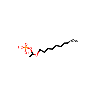 CCCCCCCCCCCCCCCCCCOC(C)OP(=O)(O)O